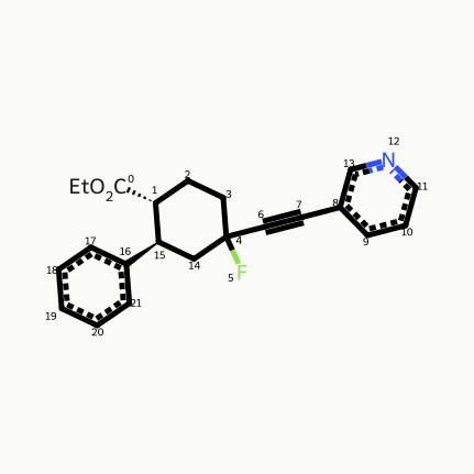 CCOC(=O)[C@@H]1CCC(F)(C#Cc2cccnc2)C[C@H]1c1ccccc1